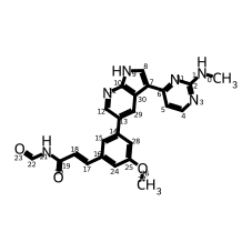 CNc1nccc(-c2c[nH]c3ncc(-c4cc(C=CC(=O)NC=O)cc(OC)c4)cc23)n1